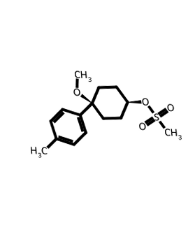 CO[C@]1(c2ccc(C)cc2)CC[C@H](OS(C)(=O)=O)CC1